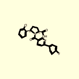 O=C(O)[C@@H]1CC[C@H](c2ccccc2Cl)N1C(=O)c1ccc(-c2ccc(F)cc2)nc1